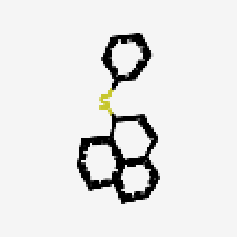 C1=CC(Sc2ccccc2)c2cccc3cccc1c23